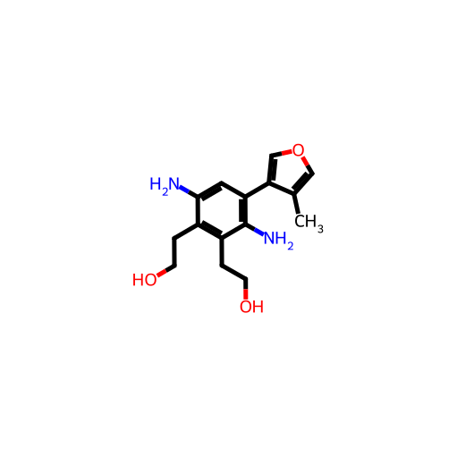 Cc1cocc1-c1cc(N)c(CCO)c(CCO)c1N